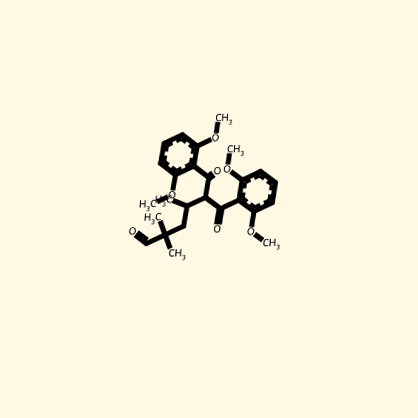 COc1cccc(OC)c1C(=O)C(C(=O)c1c(OC)cccc1OC)C(C)CC(C)(C)C=O